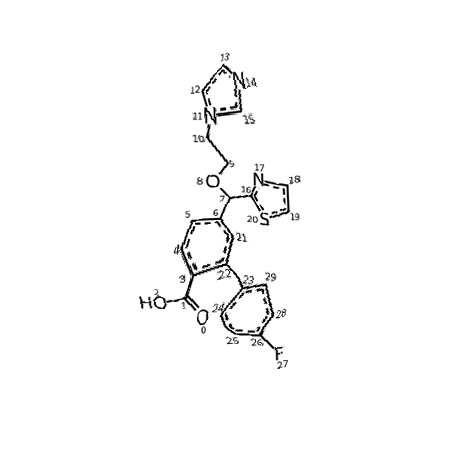 O=C(O)c1ccc(C(OCCn2ccnc2)c2nccs2)cc1-c1ccc(F)cc1